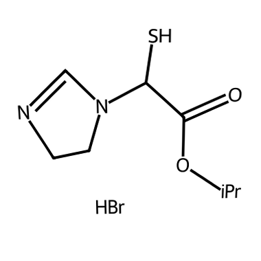 Br.CC(C)OC(=O)C(S)N1C=NCC1